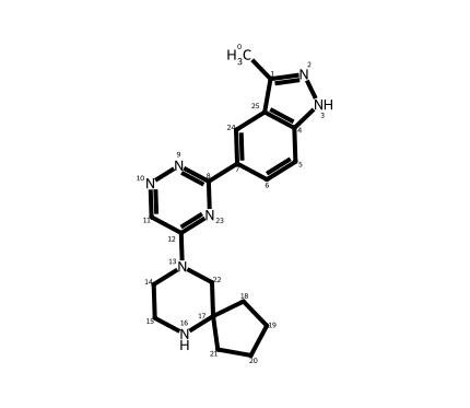 Cc1n[nH]c2ccc(-c3nncc(N4CCNC5(CCCC5)C4)n3)cc12